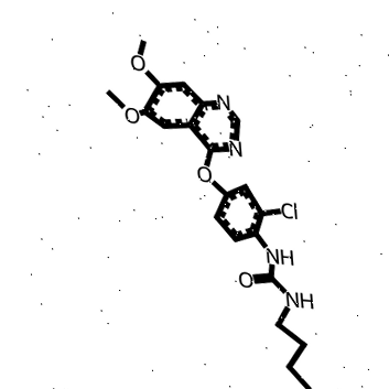 CCCCNC(=O)Nc1ccc(Oc2ncnc3cc(OC)c(OC)cc23)cc1Cl